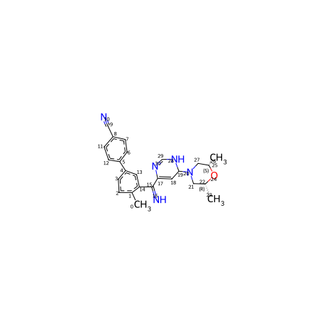 Cc1ccc(-c2ccc(C#N)cc2)cc1C(=N)C1=CC(N2C[C@@H](C)O[C@@H](C)C2)NC=N1